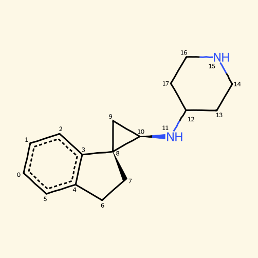 c1ccc2c(c1)CC[C@]21C[C@H]1NC1CCNCC1